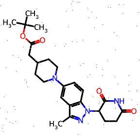 Cc1nn(C2CCC(=O)NC2=O)c2ccc(N3CCC(CC(=O)OC(C)(C)C)CC3)cc12